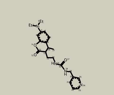 CCN(CC)c1ccc2c(c1)OC(=O)C(CCNC(=O)NCc1cccnc1)C2C